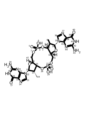 CC1[C@H]2OP(=O)(O)OC[C@H]3O[C@@H](n4cnc5c(=O)[nH]c(N)nc54)[C@@H](C)C3OP(=O)(O)OC[C@H]2O[C@H]1n1cnc2c(=O)[nH]c(N)nc21